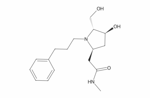 CNC(=O)C[C@@H]1C[C@H](O)[C@@H](CO)N1CCCc1ccccc1